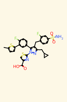 Cc1ccc(-c2cc(-c3c(Cc4ccc(S(N)(=O)=O)cc4F)c(CC4CC4)nn3-c3nc(C(=O)O)cs3)ccc2F)s1